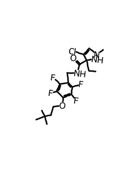 CCC1(C(=O)NCc2c(F)c(F)c(OCCC(C)(C)C)c(F)c2F)NN(C)C=C1Cl